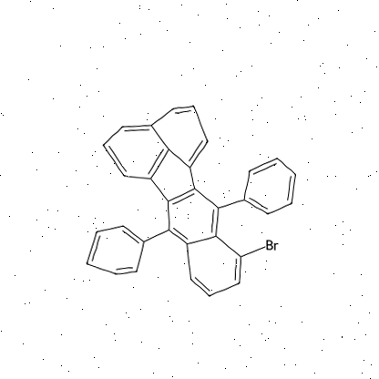 Brc1cccc2c(-c3ccccc3)c3c(c(-c4ccccc4)c12)-c1cccc2cccc-3c12